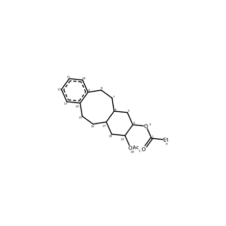 CCC(=O)OC1CC2CCc3ccccc3CCC2CC1OC(C)=O